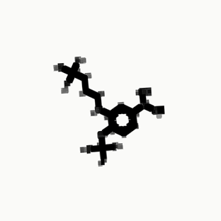 OB(O)c1ccc(OC(F)(F)F)c(OCCCC(F)(F)F)c1